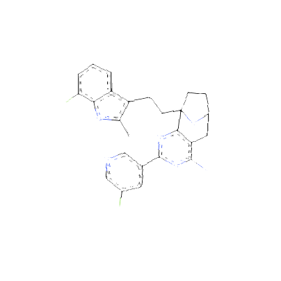 Cc1[nH]c2c(F)cccc2c1CCC12CCC(Cc3c(N)nc(-c4cncc(F)c4)nc31)N2.Cl